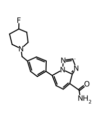 NC(=O)c1ccc(-c2ccc(CN3CCC(F)CC3)cc2)n2n[c]nc12